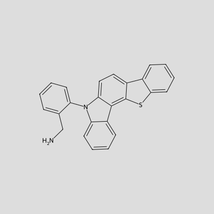 NCc1ccccc1-n1c2ccccc2c2c3sc4ccccc4c3ccc21